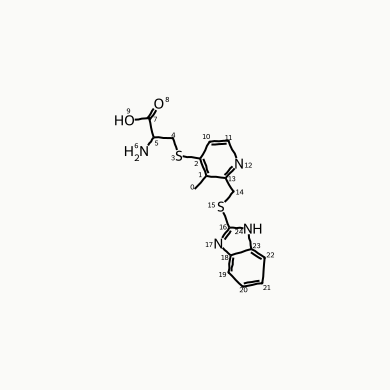 Cc1c(SCC(N)C(=O)O)ccnc1CSc1nc2ccccc2[nH]1